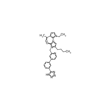 CCCCc1cn(-c2c(C(C)=O)ccn2CC)c(=O)n1Cc1cc(-c2cccc(-c3nnn[nH]3)c2)ccn1